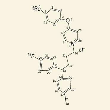 CC(C)(C)c1ccc(Oc2cc[n+](CCCC(c3ccc(F)cc3)c3ccc(F)cc3)cc2)cc1.[I-]